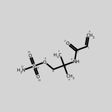 C=CC(=O)NC(C)(C)COS(N)(=O)=O